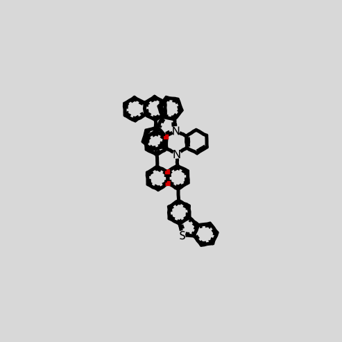 C1=CC(N(c2ccc(-c3ccc4sc5ccccc5c4c3)cc2)c2cc(-c3cccc4ccccc34)ccc2-c2ccccc2)=C(n2c3ccccc3c3ccccc32)CC1